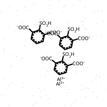 O=C([O-])c1cccc(C(=O)[O-])c1S(=O)(=O)O.O=C([O-])c1cccc(C(=O)[O-])c1S(=O)(=O)O.O=C([O-])c1cccc(C(=O)[O-])c1S(=O)(=O)O.[Al+3].[Al+3]